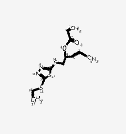 C=CC(=O)OC(CCC)CSc1nnc(SCC)s1